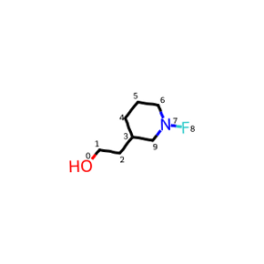 OCCC1CCCN(F)C1